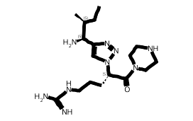 CC[C@H](C)[C@H](N)c1cn([C@@H](CCCNC(=N)N)C(=O)N2CCNCC2)nn1